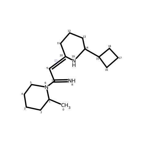 CC1CCCCN1C(=N)/C=C1/CCCC(C2CCC2)N1